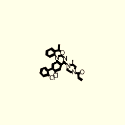 C=CC(=O)N1CCN(c2nc(=O)n(-c3ccccc3C(C)C)c3cc(-c4ccccc4Cl)c(Cl)cc23)[C@@H](C)C1